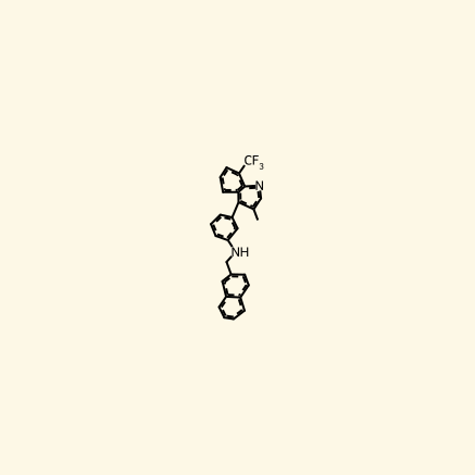 Cc1cnc2c(C(F)(F)F)cccc2c1-c1cccc(NCc2ccc3ccccc3c2)c1